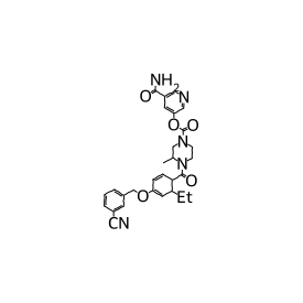 CCC1C=C(OCc2cccc(C#N)c2)C=CC1C(=O)N1CCN(C(=O)Oc2cncc(C(N)=O)c2)CC1C